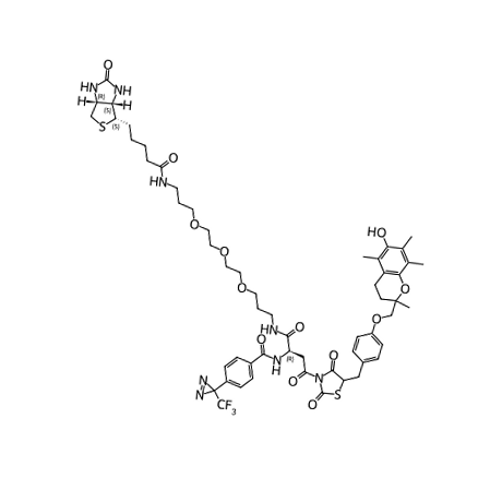 Cc1c(C)c2c(c(C)c1O)CCC(C)(COc1ccc(CC3SC(=O)N(C(=O)C[C@@H](NC(=O)c4ccc(C5(C(F)(F)F)N=N5)cc4)C(=O)NCCCOCCOCCOCCCNC(=O)CCCC[C@@H]4SC[C@@H]5NC(=O)N[C@@H]54)C3=O)cc1)O2